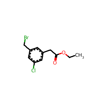 CCOC(=O)Cc1cc(Cl)cc(CBr)c1